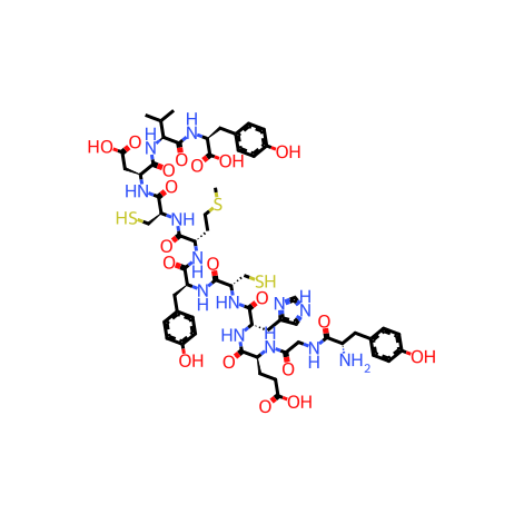 CSCC[C@H](NC(=O)[C@H](Cc1ccc(O)cc1)NC(=O)[C@H](CS)NC(=O)[C@H](Cc1c[nH]cn1)NC(=O)[C@H](CCC(=O)O)NC(=O)CNC(=O)[C@@H](N)Cc1ccc(O)cc1)C(=O)N[C@@H](CS)C(=O)N[C@@H](CC(=O)O)C(=O)N[C@H](C(=O)N[C@@H](Cc1ccc(O)cc1)C(=O)O)C(C)C